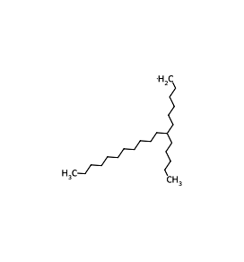 [CH2]CCCCCC(CCCCC)CCCCCCCCCCC